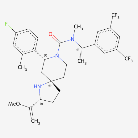 C=C(OC)[C@H]1CC[C@@]2(CCN(C(=O)N(C)[C@@H](C)c3cc(C(F)(F)F)cc(C(F)(F)F)c3)[C@@H](c3ccc(F)cc3C)C2)N1